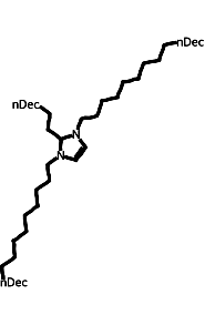 CCCCCCCCCCCCCCCCCCCN1C=CN(CCCCCCCCCCCCCCCCCCC)C1CCCCCCCCCCCC